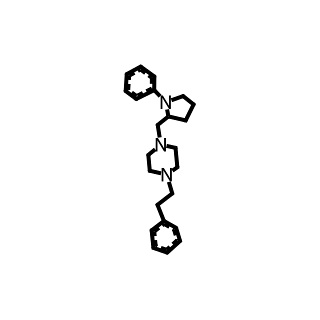 c1ccc(CCN2CCN(CC3CCCN3c3ccccc3)CC2)cc1